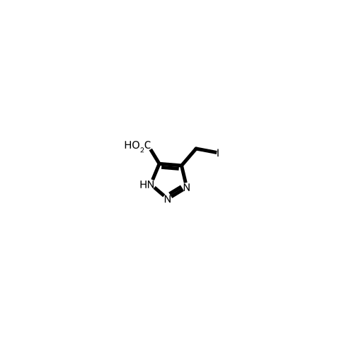 O=C(O)c1[nH]nnc1CI